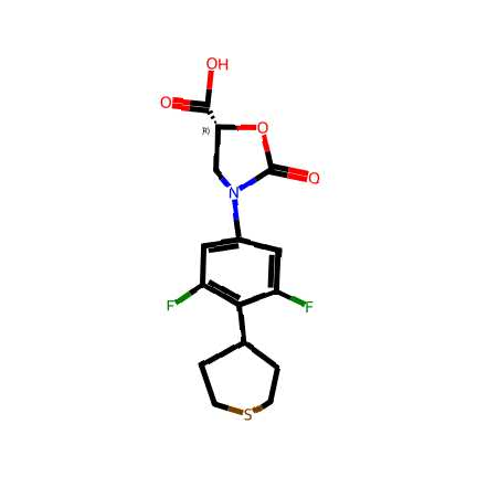 O=C(O)[C@H]1CN(c2cc(F)c(C3CCSCC3)c(F)c2)C(=O)O1